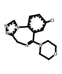 Clc1ccc2c(c1)C(N1CCOCC1)=NCc1nncn1-2